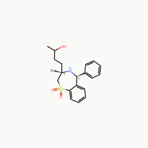 CC[C@]1(CCC(C)O)CS(=O)(=O)c2ccccc2[C@H](c2ccccc2)N1